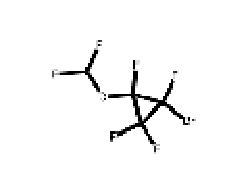 FC(F)OC1(F)C(F)(F)C1(F)Br